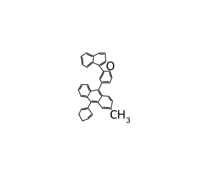 Cc1ccc2c(-c3ccc4oc5ccc6ccccc6c5c4c3)c3ccccc3c(C3=CCCC=C3)c2c1